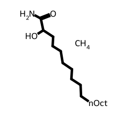 C.CCCCCCCCCCCCCCCCC(O)C(N)=O